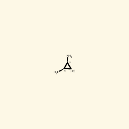 C[C@@H]1C[C@@H]1N.Cl